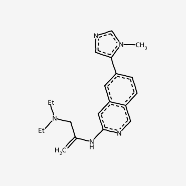 C=C(CN(CC)CC)Nc1cc2cc(-c3cncn3C)ccc2cn1